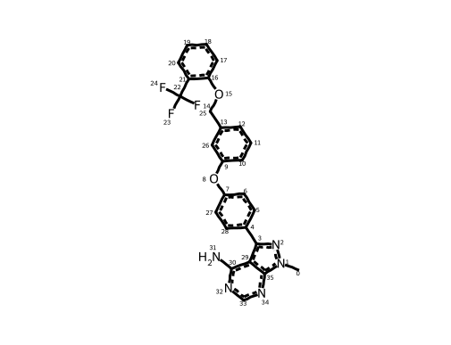 Cn1nc(-c2ccc(Oc3cccc(COc4ccccc4C(F)(F)F)c3)cc2)c2c(N)ncnc21